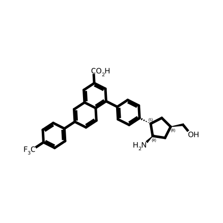 N[C@@H]1C[C@H](CO)C[C@H]1c1ccc(-c2cc(C(=O)O)cc3cc(-c4ccc(C(F)(F)F)cc4)ccc23)cc1